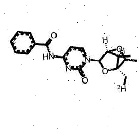 [2H]C[C@@]12O[C@@H](n3ccc(NC(=O)c4ccccc4)nc3=O)[C@@H](OC1C)[C@H]2C